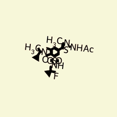 CC(=O)Nc1nc(C)c(-c2cc3c(c(S(=O)(=O)NCC4(CF)CC4)c2)C(=O)N(C(C)C2CC2)C3)s1